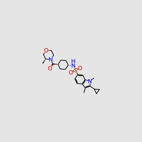 Cc1c(C2CC2)n(C)c2cc(S(=O)(=O)N[C@H]3CC[C@H](C(=O)N4CCOC[C@@H]4C)CC3)ccc12